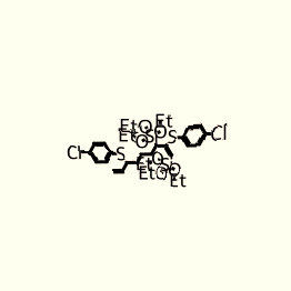 C=CC(CCCC(C(=C[Si](OCC)(OCC)OCC)Sc1ccc(Cl)cc1)[Si](OCC)(OCC)OCC)Sc1ccc(Cl)cc1